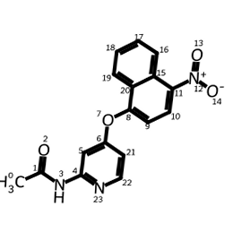 CC(=O)Nc1cc(Oc2ccc([N+](=O)[O-])c3ccccc23)ccn1